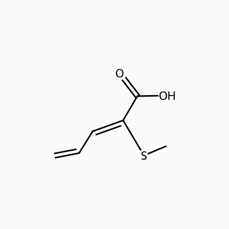 C=C/C=C(\SC)C(=O)O